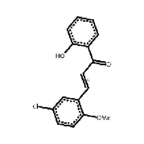 COc1ccc(Cl)cc1/C=C/C(=O)c1ccccc1O